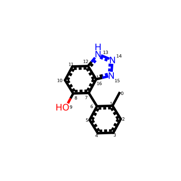 Cc1ccccc1-c1c(O)ccc2[nH]nnc12